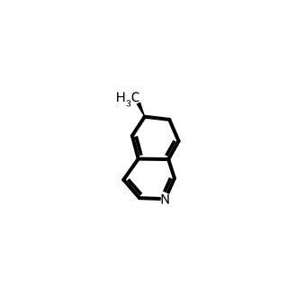 C[C@@H]1C=c2ccncc2=CC1